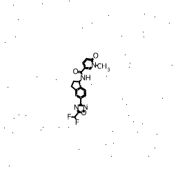 Cn1cc(C(=O)NC2CCc3cc(-c4noc(C(F)F)n4)ccc32)ccc1=O